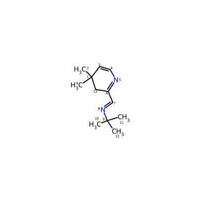 CC1(C)C=CN=C(C=NC(C)(C)C)C1